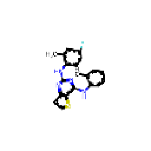 Cc1cc(F)ccc1Nc1nc(Nc2ccccc2C)c2sccc2n1